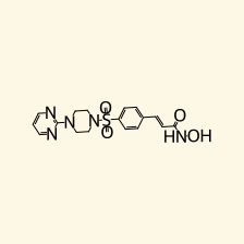 O=C(C=Cc1ccc(S(=O)(=O)N2CCN(c3ncccn3)CC2)cc1)NO